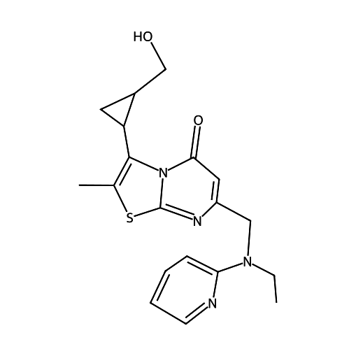 CCN(Cc1cc(=O)n2c(C3CC3CO)c(C)sc2n1)c1ccccn1